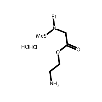 CCN(CC(=O)OCCN)SC.Cl.Cl